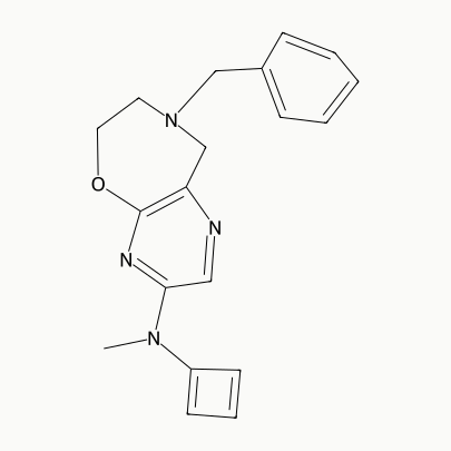 CN(C1=CC=C1)c1cnc2c(n1)OCCN(Cc1ccccc1)C2